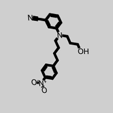 N#Cc1cccc(N(CCCO)CCCCc2ccc([N+](=O)[O-])cc2)c1